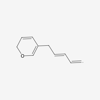 [CH]=CC=CCC1=COCC=C1